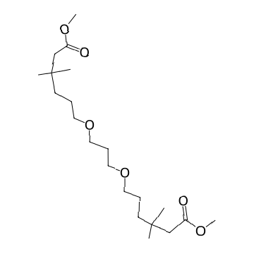 COC(=O)CC(C)(C)CCCOCCCOCCCC(C)(C)CC(=O)OC